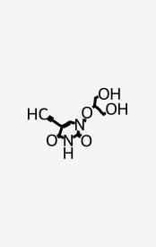 C#Cc1cn(COC(CO)CO)c(=O)[nH]c1=O